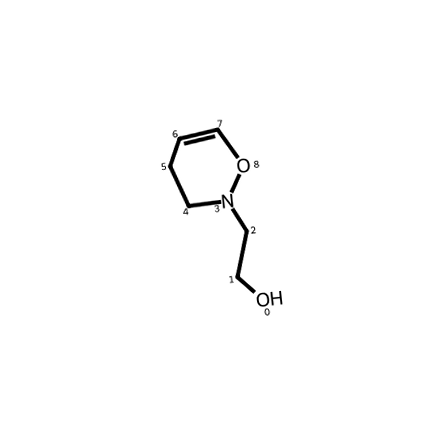 OCCN1CCC=CO1